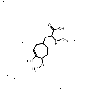 CNC(CC1CC=C(O)C(OC)CC1)C(=O)O